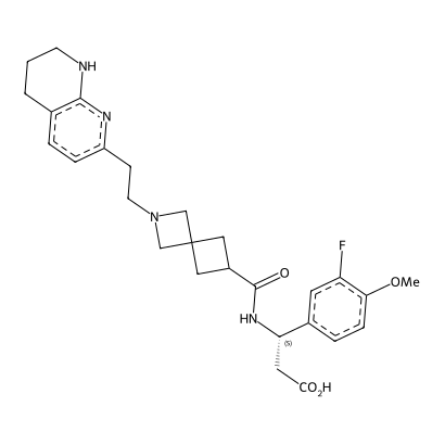 COc1ccc([C@H](CC(=O)O)NC(=O)C2CC3(C2)CN(CCc2ccc4c(n2)NCCC4)C3)cc1F